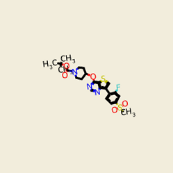 CC(C)(C)OC(=O)N1CCC(Oc2ncnc3c(-c4ccc(S(C)(=O)=O)cc4F)csc23)CC1